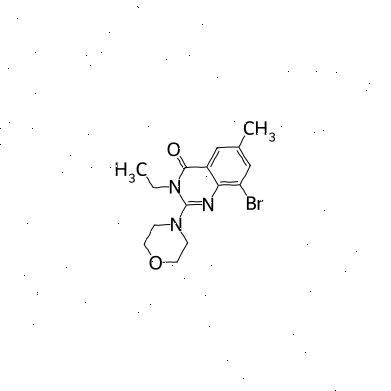 CCn1c(N2CCOCC2)nc2c(Br)cc(C)cc2c1=O